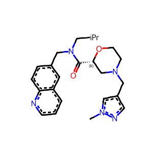 CC(C)CN(Cc1ccc2ncccc2c1)C(=O)[C@H]1CN(Cc2cnn(C)c2)CCO1